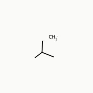 [CH2]C(C)C.[CH3]